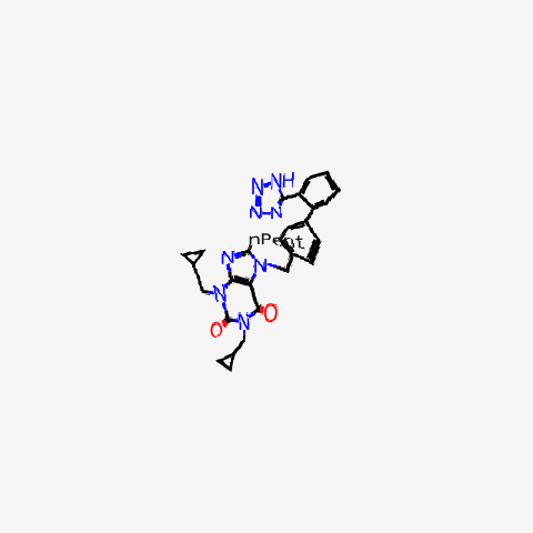 CCCCCc1nc2c(c(=O)n(CC3CC3)c(=O)n2CC2CC2)n1Cc1ccc(-c2ccccc2-c2nnn[nH]2)cc1